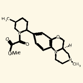 COC(=O)C(=O)N1CC(C)CCC1c1ccc2c(c1)OC[C@H]1CN(C)CCN21